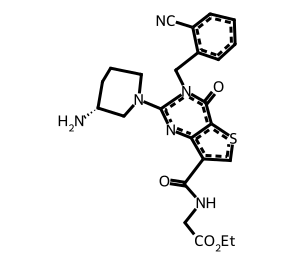 CCOC(=O)CNC(=O)c1csc2c(=O)n(Cc3ccccc3C#N)c(N3CCC[C@@H](N)C3)nc12